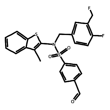 Cc1c(N(Cc2ccc(F)c(CF)c2)S(=O)(=O)c2ccc(C=O)cc2)sc2ccccc12